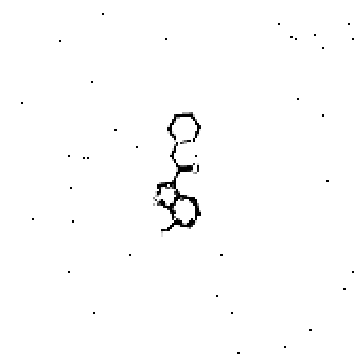 O=C(CC1CCCCC1)c1csc2c(F)cccc12